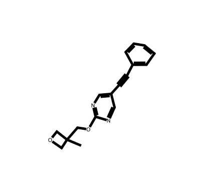 CC1(COc2ncc(C#Cc3ccccc3)cn2)COC1